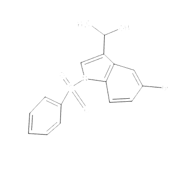 CC(O)c1cn(S(=O)(=O)c2ccccc2)c2ccc(Br)cc12